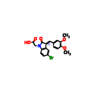 COc1ccc(/C=C2/C(=O)N(CC(=O)O)c3ccc(Br)cc32)cc1OC